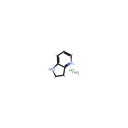 Cl.Cl.c1cnc2c(c1)NCC2